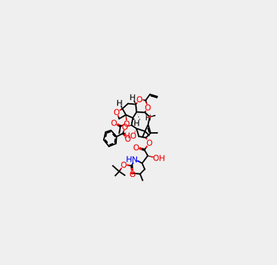 C=CC1O[C@H]2C[C@H]3OC[C@@]3(OC(C)=O)[C@H]3[C@H](OC(=O)c4ccccc4)[C@]4(O)C[C@H](OC(=O)[C@@H](O)C(CC(C)C)NC(=O)OC(C)(C)C)C(C)=C([C@H](C)[C@H](O1)[C@]23C)C4(C)C